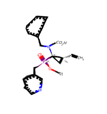 C=C[C@@H]1C[C@]1(N(Cc1ccccc1)C(=O)O)[P@](=O)(Cc1cccnc1)OCC